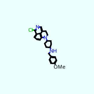 COc1ccc(CNC2CCC(N3CCc4cnc(Cl)c5cccc3c45)CC2)cc1